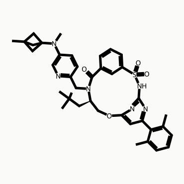 Cc1cccc(C)c1-c1cc2nc(n1)NS(=O)(=O)c1cccc(c1)C(=O)N(Cc1ccc(N(C)C34CC(C)(C3)C4)cn1)[C@H](CC(C)(C)C)CO2